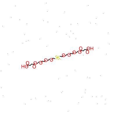 O=C(O)CCC(=O)OCCOCCOCCOCCSSCCOCCOCCOCCOC(=O)CCC(=O)O